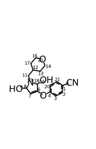 N#Cc1ccc(OC2=CC(O)N(CC3CCOCC3)C2O)cc1